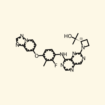 Cc1c(Oc2ccn3ncnc3c2)ccc(Nc2ncnc3cnc(N4CC[C@H]4C(C)(C)O)nc23)c1F